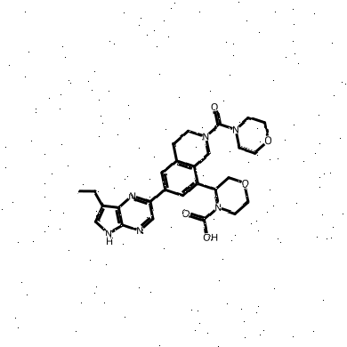 CCc1c[nH]c2ncc(-c3cc4c(c(C5COCCN5C(=O)O)c3)CN(C(=O)N3CCOCC3)CC4)nc12